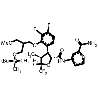 COCC(COc1c([C@H]2[C@H](C(=O)Nc3ccnc(C(N)=O)c3)O[C@@](C)(C(F)(F)F)[C@H]2C)ccc(F)c1F)CO[Si](C)(C)C(C)(C)C